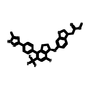 COC(=O)CC1COc2cc(O[C@@H]3CCc4c(-c5ccc(-c6n[nH]c(C)n6)cc5)c(C(F)(F)F)cc(F)c43)ccc21